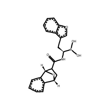 O=C(N[C@@H](Cc1coc2ccccc12)B(O)O)C1C[C@H]2O[C@@H]1c1ccccc12